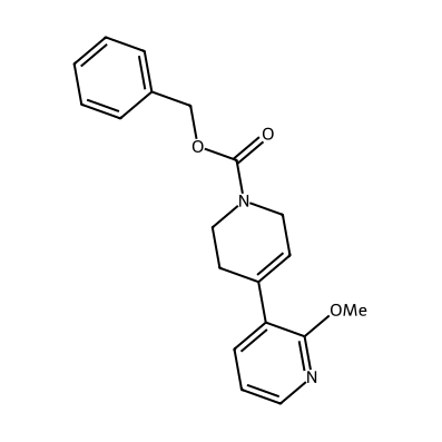 COc1ncccc1C1=CCN(C(=O)OCc2ccccc2)CC1